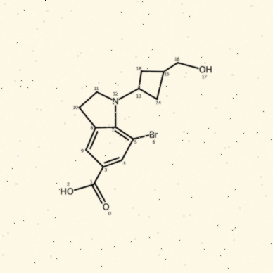 O=C(O)c1cc(Br)c2c(c1)CCN2C1CC(CO)C1